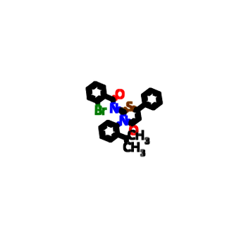 CC(C)c1ccccc1-n1c(=O)cc(-c2ccccc2)sc1=NC(=O)c1ccccc1Br